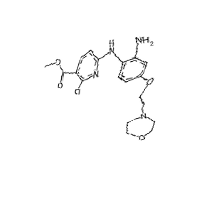 COC(=O)c1ccc(Nc2ccc(OCCN3CCOCC3)cc2N)nc1Cl